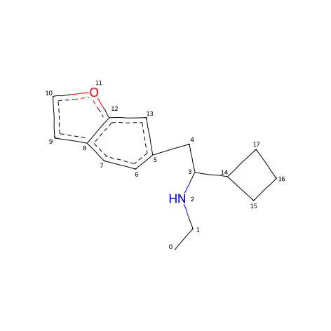 CCNC(Cc1ccc2ccoc2c1)C1CCC1